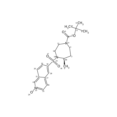 C[C@@H]1CCN(C(=O)OC(C)(C)C)CCN1S(=O)(=O)c1ccc2c[n+]([O-])ccc2c1